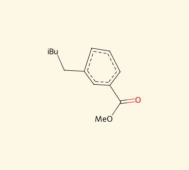 CCC(C)Cc1cccc(C(=O)OC)c1